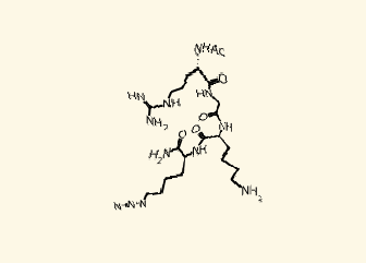 CC(=O)N[C@@H](CCCNC(=N)N)C(=O)NCC(=O)N[C@@H](CCCCN)C(=O)N[C@@H](CCCCN=[N+]=[N-])C(N)=O